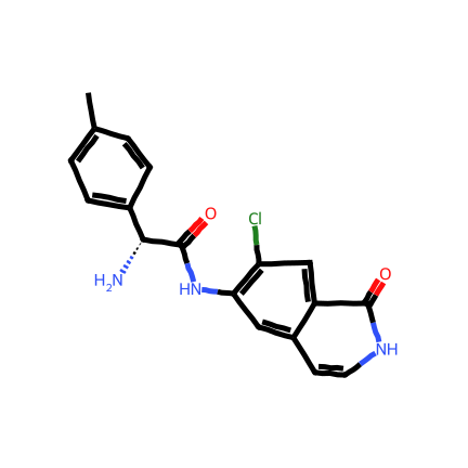 Cc1ccc([C@@H](N)C(=O)Nc2cc3cc[nH]c(=O)c3cc2Cl)cc1